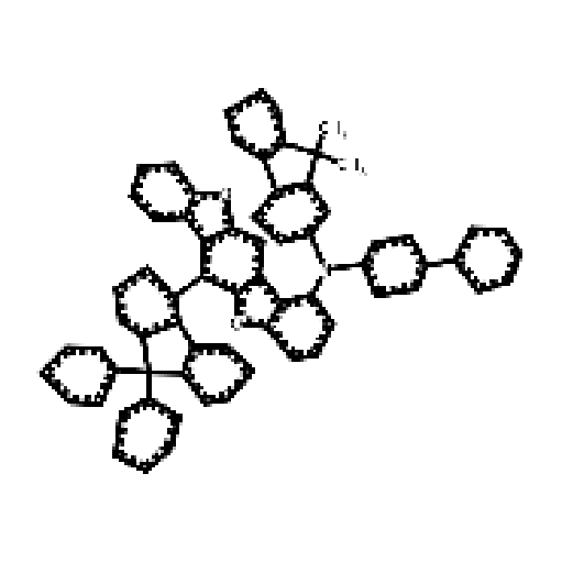 CC1(C)c2ccccc2-c2ccc(N(c3ccc(-c4ccccc4)cc3)c3cccc4oc5c(-c6cccc7c6-c6ccccc6C7(c6ccccc6)c6ccccc6)c6c(cc5c34)oc3ccccc36)cc21